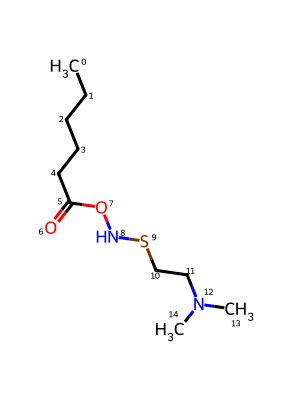 CCCCCC(=O)ONSCCN(C)C